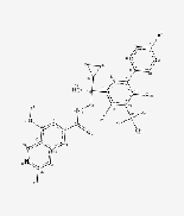 COc1cc(C(=O)NC[C@](O)(c2nc(-c3ccc(F)cc3)c(F)c(C(C)(C)O)c2F)C2CC2)cc2cc(C)nnc12